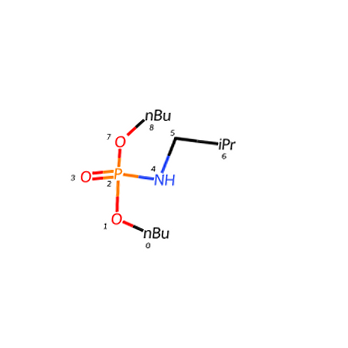 CCCCOP(=O)(NCC(C)C)OCCCC